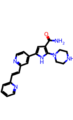 NC(=O)c1cc(-c2ccnc(/C=C/c3ccccn3)c2)[nH]c1N1CCNCC1